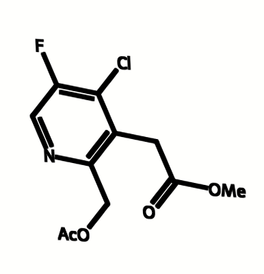 COC(=O)Cc1c(COC(C)=O)ncc(F)c1Cl